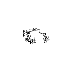 O=C1CCN(c2cccc(C#CCOC3CCN(C[C@H]4CC[C@H](n5cc(NC(=O)c6cnn7ccc(N8C[C@H]9C[C@@H]8CO9)nc67)c(C(F)F)n5)CC4)CC3)c2)C(=O)N1